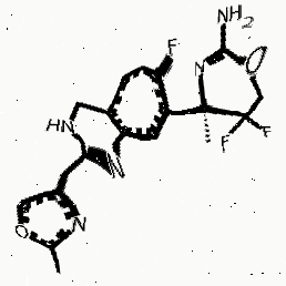 Cc1nc(C2=Nc3cc([C@@]4(C)N=C(N)OCC4(F)F)c(F)cc3CN2)co1